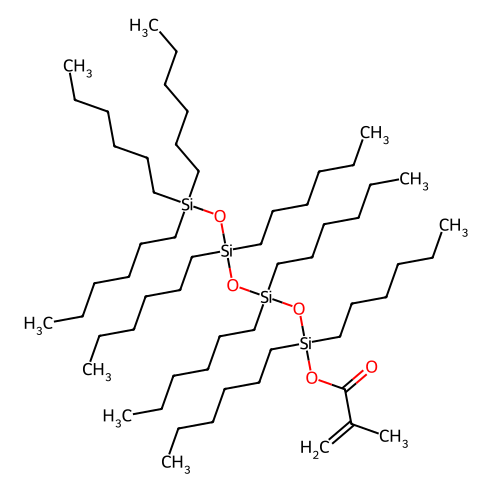 C=C(C)C(=O)O[Si](CCCCCC)(CCCCCC)O[Si](CCCCCC)(CCCCCC)O[Si](CCCCCC)(CCCCCC)O[Si](CCCCCC)(CCCCCC)CCCCCC